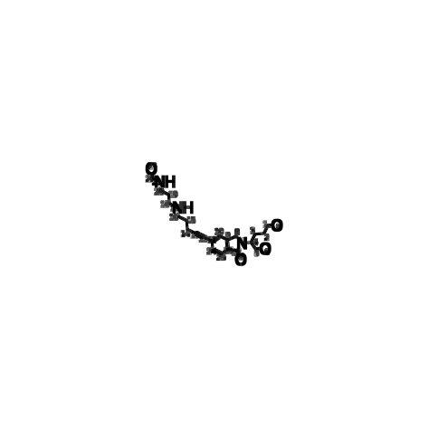 O=CCCC(C=O)N1Cc2cc(C#CCCCNCCCNC=O)ccc2C1=O